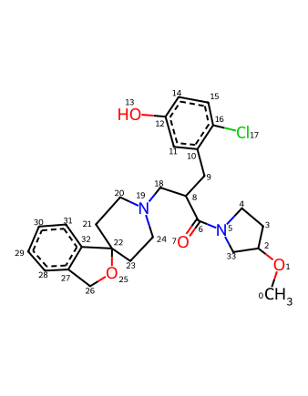 COC1CCN(C(=O)C(Cc2cc(O)ccc2Cl)CN2CCC3(CC2)OCc2ccccc23)C1